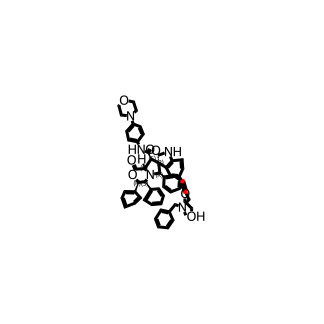 CN(CC#Cc1ccc2c(c1)[C@]1(C(=O)N2)[C@H](C(=O)Nc2ccc(N3CCOCC3)cc2)[C@H]2C(=O)O[C@H](c3ccccc3)[C@H](c3ccccc3)N2[C@@H]1c1ccc(OCCO)cc1)Cc1ccccc1